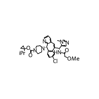 COCC(=O)N[C@H](C1=Cc2cccnc2[C@@H](N2CCN(C(=O)OC3(C(C)C)CC3)CC2)c2ccc(Cl)cc21)c1cncn1C